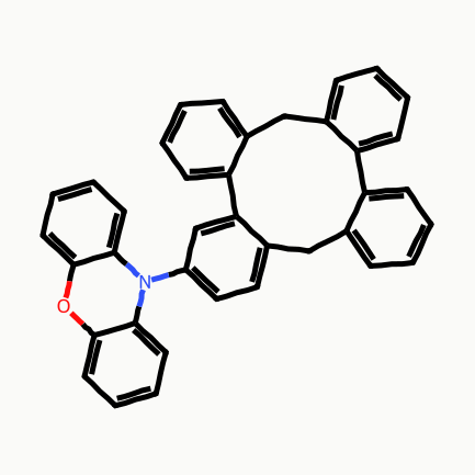 c1ccc2c(c1)Cc1ccccc1-c1cc(N3c4ccccc4Oc4ccccc43)ccc1Cc1ccccc1-2